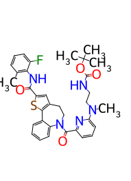 Cc1cccc(F)c1NC(=O)c1cc2c(s1)-c1ccccc1N(C(=O)c1cccc(N(C)CCNC(=O)OC(C)(C)C)n1)CC2